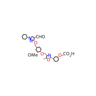 COc1cc(COc2nn(-c3ccccc3)cc2C=O)ccc1OCc1nc(-c2cccc(OCC(=O)O)c2)oc1C